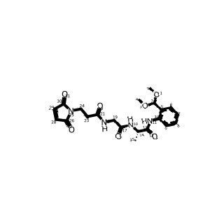 COC(OC)c1ccccc1NC(=O)[C@H](C)NC(=O)CNC(=O)CCN1C(=O)C=CC1=O